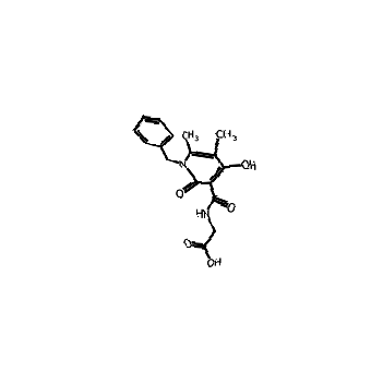 Cc1c(O)c(C(=O)NCC(=O)O)c(=O)n(Cc2ccccc2)c1C